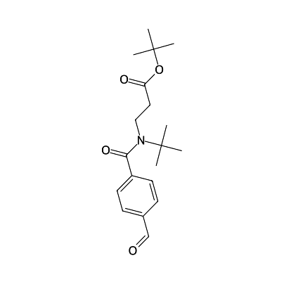 CC(C)(C)OC(=O)CCN(C(=O)c1ccc(C=O)cc1)C(C)(C)C